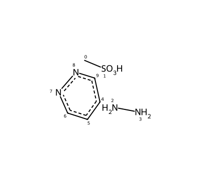 CS(=O)(=O)O.NN.c1ccnnc1